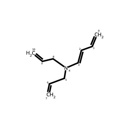 C=CC=CN(CC=C)CC=C